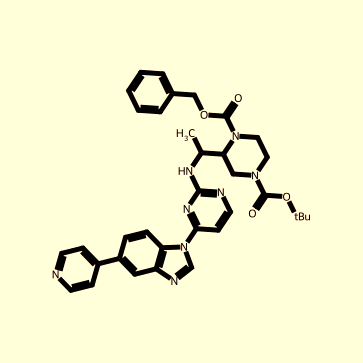 CC(Nc1nccc(-n2cnc3cc(-c4ccncc4)ccc32)n1)C1CN(C(=O)OC(C)(C)C)CCN1C(=O)OCc1ccccc1